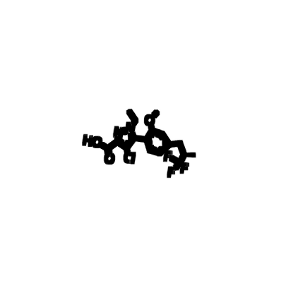 CCn1nc(C(=O)O)c(Cl)c1-c1ccc(C[C@@H](C)C(F)(F)F)cc1OC